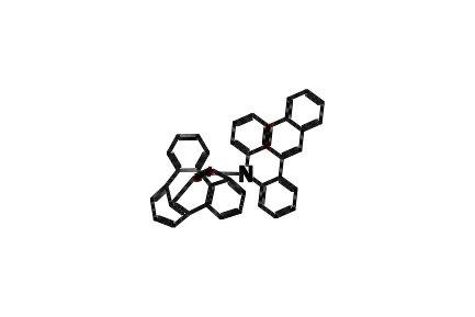 c1ccc(N(c2ccccc2-c2ccc3ccccc3c2)c2cccc3c2-c2cccc4c2-c2ccccc2-c2cccc-4c2-3)cc1